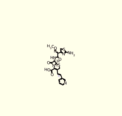 CON=C(C(=O)N[C@@H]1C(=O)N2C(C(=O)O)=C(/C=C/c3cccnc3)CS[C@@H]12)c1csc(N)n1